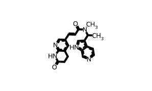 CC(c1c[nH]c2cnccc12)N(C)C(=O)C=Cc1cnc2c(c1)CCC(=O)N2